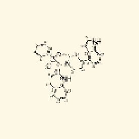 O=S(=O)(c1ccccc1)C(C1CCc2ccccc2N1)N1CCN(c2cccc3[nH]ccc23)CC1